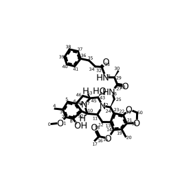 COc1c(C)cc2c(c1O)[C@@H]1C3Cc4c(OC(C)=O)c(C)c5c(c4[C@H](CNC(=O)[C@H](C)NC(=O)CCc4ccccc4)N3[C@@H](O)[C@@H](C2)N1C)OCO5